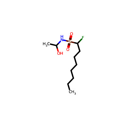 CCCCCCCC(F)S(=O)(=O)NC(C)O